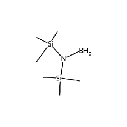 BN([Si](C)(C)C)[Si](C)(C)C